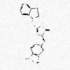 Cn1ncc2cc(/C=C3\N=C(N[C@H]4c5ccccc5C[C@@H]4O)NC3=O)ccc21